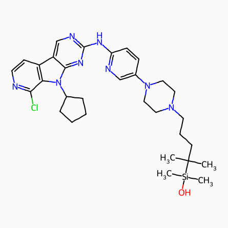 CC(C)(CCCN1CCN(c2ccc(Nc3ncc4c5ccnc(Cl)c5n(C5CCCC5)c4n3)nc2)CC1)[Si](C)(C)O